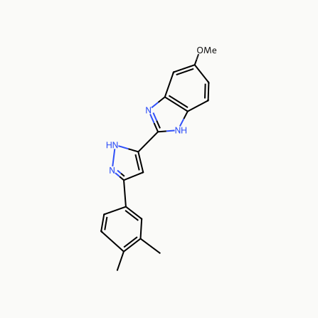 COc1ccc2[nH]c(-c3cc(-c4ccc(C)c(C)c4)n[nH]3)nc2c1